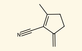 C=C1CCC(C)=C1C#N